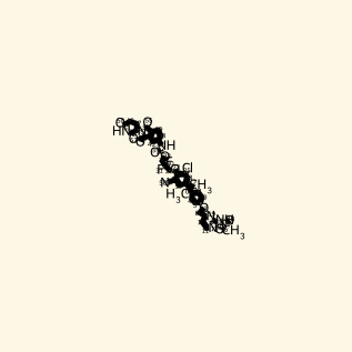 CC(C)(c1ccc(OCc2ccnc(NS(C)(=O)=O)n2)cc1)c1cc(Cl)c(OCC(F)(F)COC(=O)Nc2ccc3c(c2)C(=O)N(C2CCC(=O)NC2=O)C3=O)c(C#N)c1